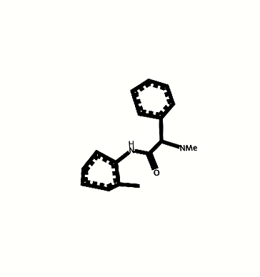 CNC(C(=O)Nc1ccccc1C)c1ccccc1